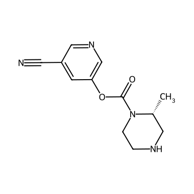 C[C@@H]1CNCCN1C(=O)Oc1cncc(C#N)c1